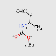 CC(CC=O)NC(=O)OC(C)(C)C